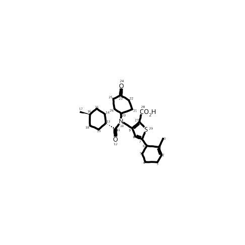 CC1=CCCCC1c1cc(N(C(=O)[C@H]2CC[C@H](C)CC2)C2CCC(=O)CC2)c(C(=O)O)s1